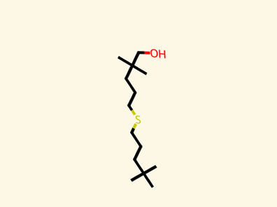 CC(C)(C)CCCSCCCC(C)(C)CO